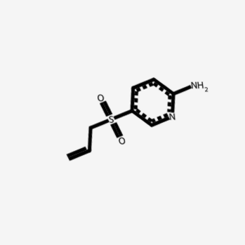 C=CCS(=O)(=O)c1ccc(N)nc1